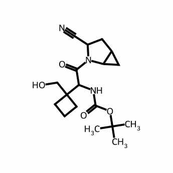 CC(C)(C)OC(=O)NC(C(=O)N1C(C#N)CC2CC21)C1(CO)CCC1